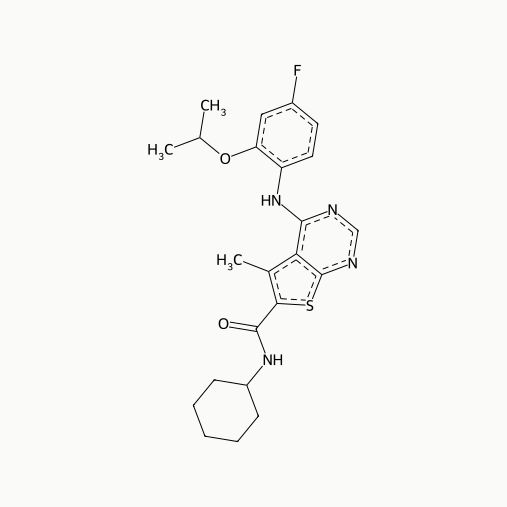 Cc1c(C(=O)NC2CCCCC2)sc2ncnc(Nc3ccc(F)cc3OC(C)C)c12